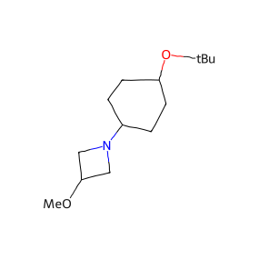 COC1CN(C2CCC(OC(C)(C)C)CC2)C1